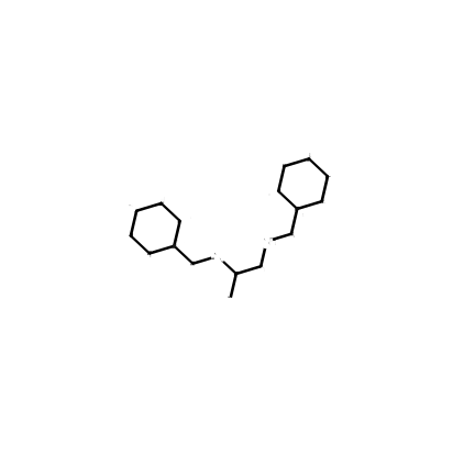 CC(CNCC1CCCCC1)NCC1CCCCC1